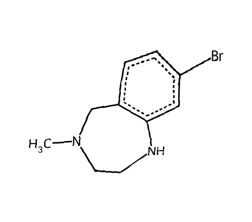 CN1CCNc2cc(Br)ccc2C1